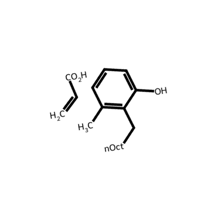 C=CC(=O)O.CCCCCCCCCc1c(C)cccc1O